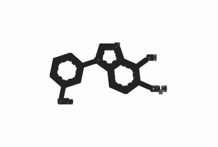 COc1cccc(-n2cnc3c(O)c(C(=O)O)ccc32)c1